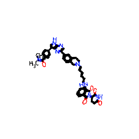 CN(C)C(=O)c1ccc(-c2c[nH]c3ncc(-c4ccc5c(c4)CCN(CCCCCCNc4cccc6c4C(=O)N(C4CCC(=O)NC4=O)C6=O)C5)nc23)cc1